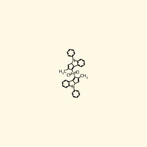 CC1=CC2C(=[C]1[Hf]([Cl])([Cl])[C]1=C3c4ccccc4N(c4ccccc4)C3C=C1C)c1ccccc1N2c1ccccc1